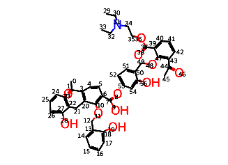 CC(=O)c1ccc(C(=O)O)c(OCc2ccccc2O)c1Cc1ccccc1O.CCN(CC)CCOC(=O)c1cccc(C(C)=O)c1OCc1ccccc1O